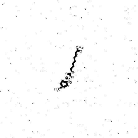 COC(=O)CCCCCCCNC(=O)NS(=O)(=O)c1ccc(C)cc1